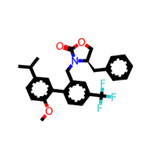 COc1ccc(C(C)C)cc1-c1ccc(C(F)(F)F)cc1CN1C(=O)OC[C@H]1Cc1ccccc1